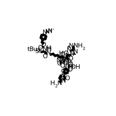 CC(C)(C)SSCC(NC(=O)OCc1ccc(N=[N+]=[N-])cc1)C(=O)NCCCC[C@H](N)C(=O)O[C@H]1[C@@H](O)[C@H](n2cnc3c(N)ncnc32)O[C@@H]1COP(=O)(O)O[C@H]1C[C@H](n2ccc(N)nc2=O)O[C@@H]1COP(=O)(O)O